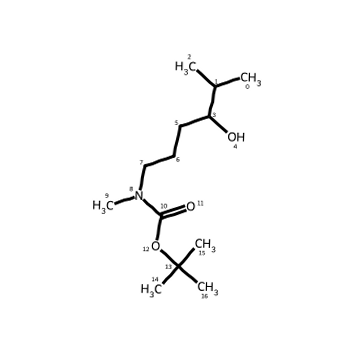 CC(C)C(O)CCCN(C)C(=O)OC(C)(C)C